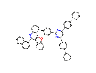 c1ccc(-c2ccc(-c3cc(-c4ccc(-c5ccccc5)cc4)nc(-c4ccc(-c5cccc6nc(-c7cccc8ccccc78)c7c8ccccc8oc7c56)cc4)n3)cc2)cc1